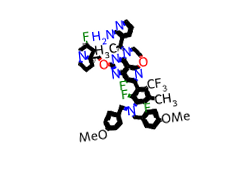 COc1ccc(CN(Cc2ccc(OC)cc2)c2c(F)c(C)c(C(F)(F)F)c(-c3nc4c5c(nc(OC[C@@]67CCCN6C[C@H](F)C7)nc5c3F)N([C@H](C)c3cccnc3N)CCO4)c2F)cc1